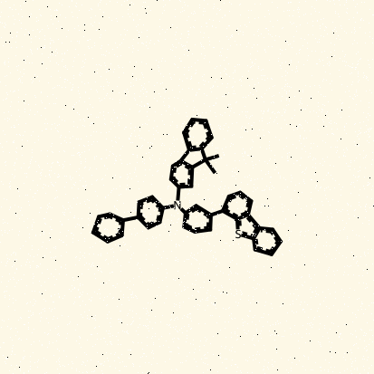 CC1(C)c2ccccc2-c2ccc(N(c3ccc(-c4ccccc4)cc3)c3cccc(-c4cccc5c4sc4ccccc45)c3)cc21